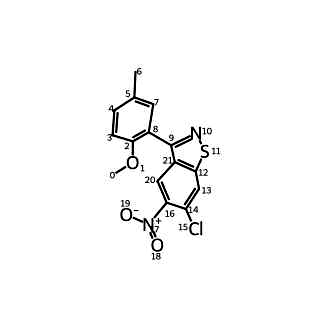 COc1ccc(C)cc1-c1nsc2cc(Cl)c([N+](=O)[O-])cc12